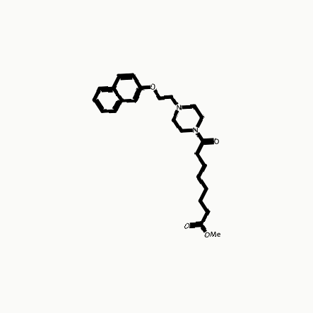 COC(=O)CCCCCCC(=O)N1CCN(CCOc2ccc3ccccc3c2)CC1